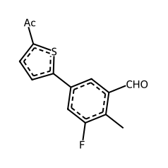 CC(=O)c1ccc(-c2cc(F)c(C)c(C=O)c2)s1